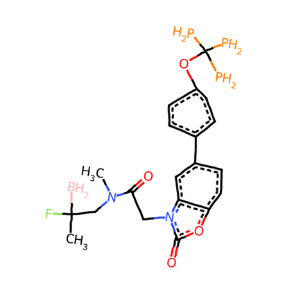 BC(C)(F)CN(C)C(=O)Cn1c(=O)oc2ccc(-c3ccc(OC(P)(P)P)cc3)cc21